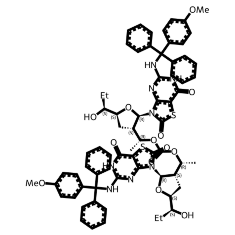 CC[C@H](O)[C@@H]1C[C@@H]([C@@H](C)OC(=O)O[C@H](C)[C@@H]2C[C@@H]([C@@H](O)CC)O[C@H]2n2c(=O)sc3c(=O)[nH]c(NC(c4ccccc4)(c4ccccc4)c4ccc(OC)cc4)nc32)[C@H](n2c(=O)sc3c(=O)[nH]c(NC(c4ccccc4)(c4ccccc4)c4ccc(OC)cc4)nc32)O1